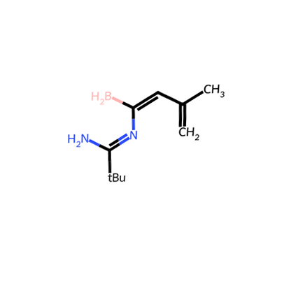 BC(=C/C(=C)C)/N=C(\N)C(C)(C)C